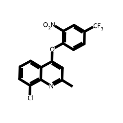 Cc1cc(Oc2ccc(C(F)(F)F)cc2[N+](=O)[O-])c2cccc(Cl)c2n1